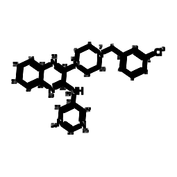 Clc1cccc(CN2CCN(c3nc4ccccc4nc3Nc3cncnc3)CC2)c1